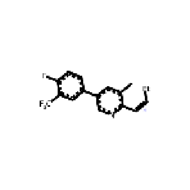 CC/C=C\c1ncc(-c2ccc(F)c(C(F)(F)F)c2)cc1C